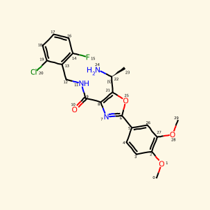 COc1ccc(-c2nc(C(=O)NCc3c(F)cccc3Cl)c([C@H](C)N)o2)cc1OC